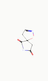 O=C1CC2(CC=NO2)C(=O)N1